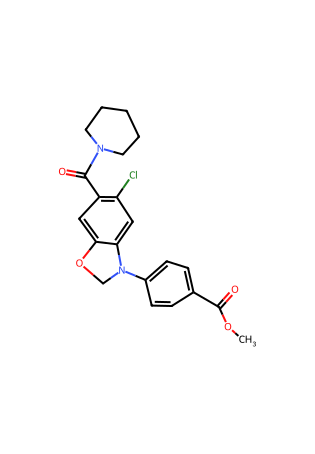 COC(=O)c1ccc(N2COc3cc(C(=O)N4CCCCC4)c(Cl)cc32)cc1